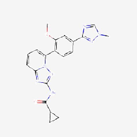 COc1cc(-c2ncn(C)n2)ccc1-c1cccc2nc(NC(=O)C3CC3)nn12